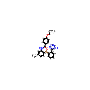 O=C(O)COc1ccc(C(=O)Nc2cc(C(F)(F)F)ccc2Sc2ccccc2-c2nnn[nH]2)cc1